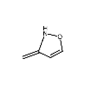 C=C1C=CON1